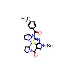 Cc1ccc(C(=O)Nc2nc3c(s2)c(C(=O)N2CCC[C@H]2CN2CCCC2)cn3C(C)(C)C)cc1